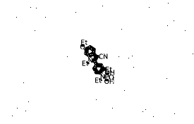 CCOc1ccc2c(C#N)c(-c3ccc(N(CC)P(=O)(O)O)c(CC)c3)n(CC)c2c1